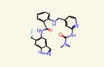 CN(C)C(=O)Nc1cc(CNc2ccccc2C(=O)Nc2cc3cn[nH]c3cc2CF)ccn1